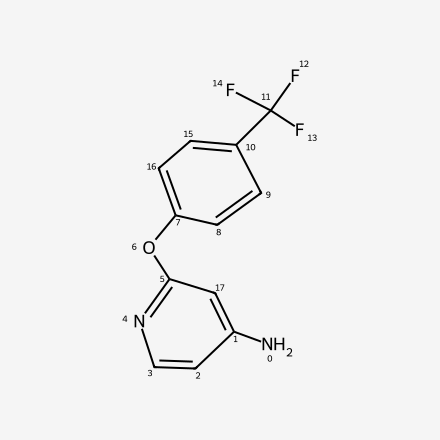 Nc1ccnc(Oc2ccc(C(F)(F)F)cc2)c1